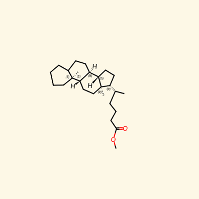 COC(=O)CCCC(C)[C@H]1CC[C@H]2[C@@H]3CCC4CCCC[C@]4(C)[C@H]3CC[C@]12C